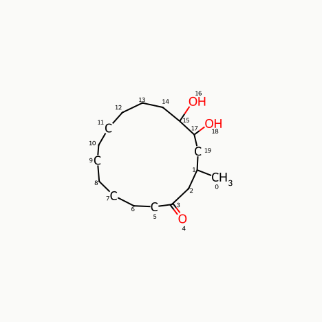 CC1CC(=O)CCCCCCCCCCC(O)C(O)C1